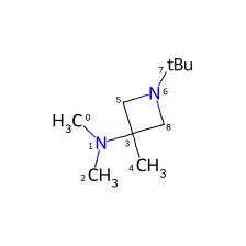 CN(C)C1(C)CN(C(C)(C)C)C1